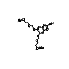 COCCOCOc1cc2nc(S)oc2cc1OCOCCOC